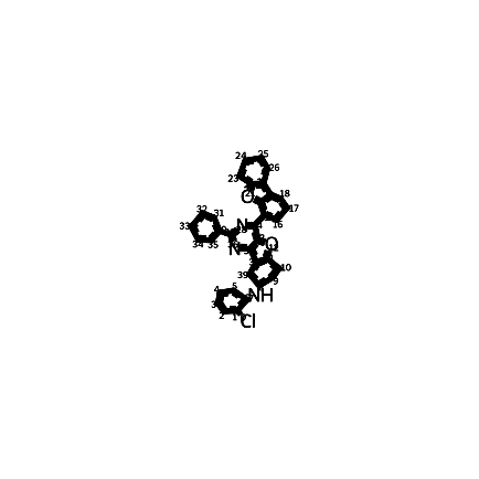 Clc1ccccc1Nc1ccc2oc3c(-c4cccc5c4oc4ccccc45)nc(-c4ccccc4)nc3c2c1